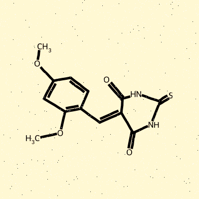 COc1ccc(C=C2C(=O)NC(=S)NC2=O)c(OC)c1